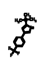 C[Si](C)(C)c1cc(-c2ccc(C(F)(F)F)cc2)c[se]1